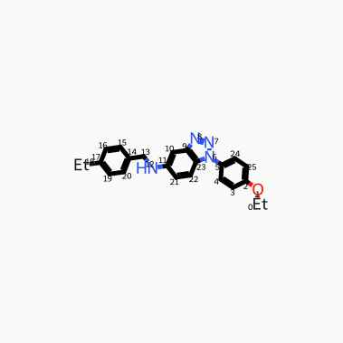 CCOc1ccc(-n2nnc3cc(NCc4ccc(CC)cc4)ccc32)cc1